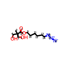 CC(CO)(CO)C(=O)OCCCCCCN=[N+]=[N-]